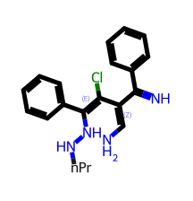 CCCNN/C(=C(Cl)\C(=C/N)C(=N)c1ccccc1)c1ccccc1